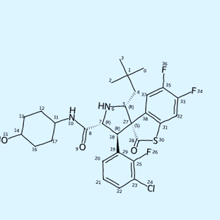 CC(C)(C)C[C@H]1N[C@@H](C(=O)NC2CCC(O)CC2)[C@H](c2cccc(Cl)c2F)[C@@]12C(=O)Sc1cc(F)c(F)cc12